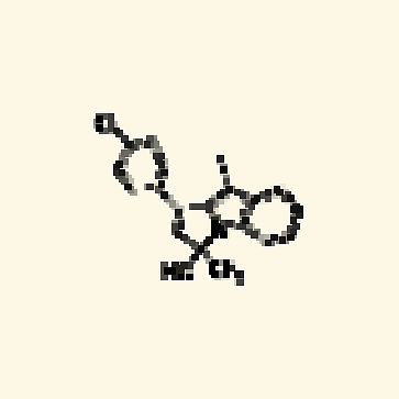 Cc1c2n(c3ccccc13)C(O)(C(F)(F)F)C=C2c1ccc(Cl)cc1